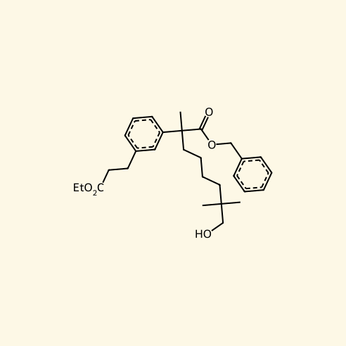 CCOC(=O)CCc1cccc(C(C)(CCCCC(C)(C)CO)C(=O)OCc2ccccc2)c1